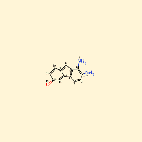 Nc1ccc2c(c1N)C=C1C=CC(=O)C=C12